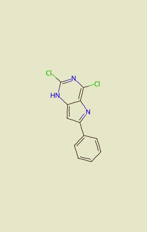 Clc1nc(Cl)c2nc(-c3ccccc3)cc-2[nH]1